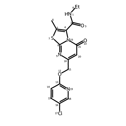 CCNC(=O)c1c(C)sc2nc(COc3ccc(Cl)cn3)cc(=O)n12